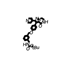 CC(C)(C)OC(=O)NCc1cccc(COc2ccc(-c3c(-c4ccncc4)nn4c3C(=O)NCC4)cc2)c1